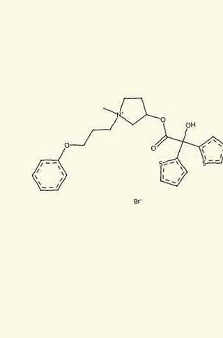 C[N+]1(CCCOc2ccccc2)CCC(OC(=O)C(O)(c2cccs2)c2cccs2)C1.[Br-]